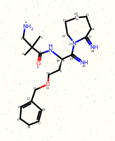 CC(C)(CN)C(=O)N[C@H](CCOCC1=CCCC=C1)C(=N)N1CCCCCC1=N